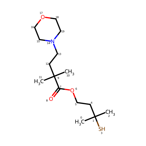 CC(C)(S)CCOC(=O)C(C)(C)CCN1CCOCC1